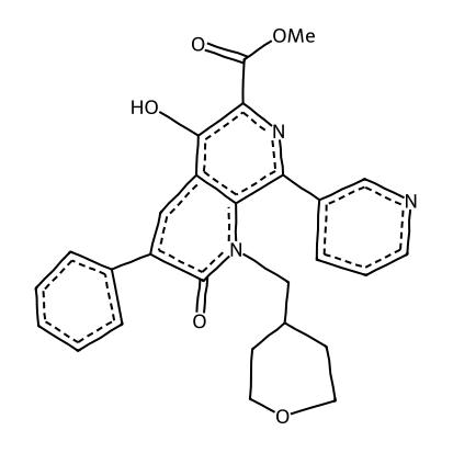 COC(=O)c1nc(-c2cccnc2)c2c(cc(-c3ccccc3)c(=O)n2CC2CCOCC2)c1O